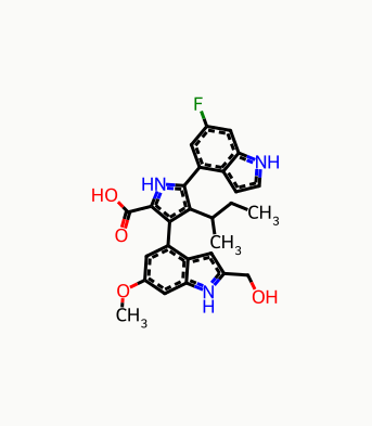 CCC(C)c1c(-c2cc(F)cc3[nH]ccc23)[nH]c(C(=O)O)c1-c1cc(OC)cc2[nH]c(CO)cc12